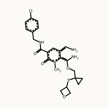 Cn1c(=O)c(C(=O)NCc2ccc(Cl)cc2)cc(=C/N)/c1=C(\N)OCC1(SC2COC2)CC1